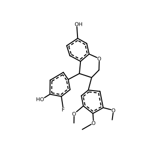 COc1cc(C2COc3cc(O)ccc3C2c2ccc(O)c(F)c2)cc(OC)c1OC